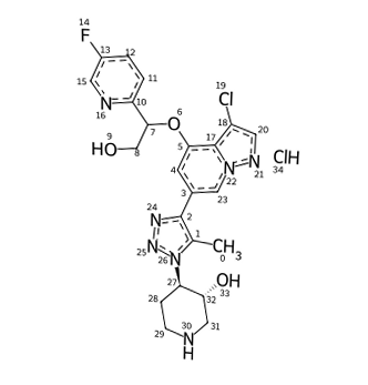 Cc1c(-c2cc(OC(CO)c3ccc(F)cn3)c3c(Cl)cnn3c2)nnn1[C@@H]1CCNC[C@H]1O.Cl